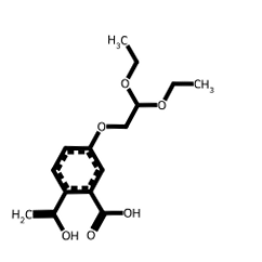 C=C(O)c1ccc(OCC(OCC)OCC)cc1C(=O)O